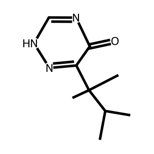 CC(C)C(C)(C)c1n[nH]cnc1=O